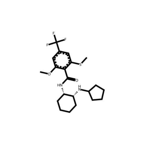 COc1cc(C(F)(F)F)cc(SC)c1C(=O)N[C@H]1CCCC[C@H]1NC1CCCC1